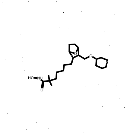 CC(C)(CCCCCC1C2CCC(O2)C1COC1CCCCC1)C(=O)NO